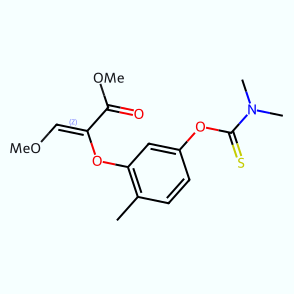 CO/C=C(\Oc1cc(OC(=S)N(C)C)ccc1C)C(=O)OC